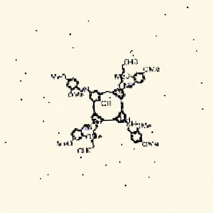 COc1ccc(/C=N/c2cc3c(O)c(c2)Cc2cc(/N=C/c4ccc(OC)cc4OC)cc(c2OCCCCCC=O)Cc2cc(NCc4ccc(OC)cc4OC)cc(c2O)Cc2cc(/N=C/c4ccc(OC)cc4OC)cc(c2OCCCCCC=O)C3)c(OC)c1